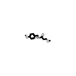 COCCC(=O)NCc1ccc(OC)cc1